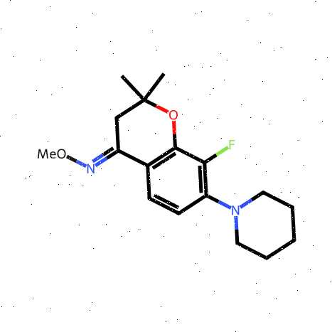 CON=C1CC(C)(C)Oc2c1ccc(N1CCCCC1)c2F